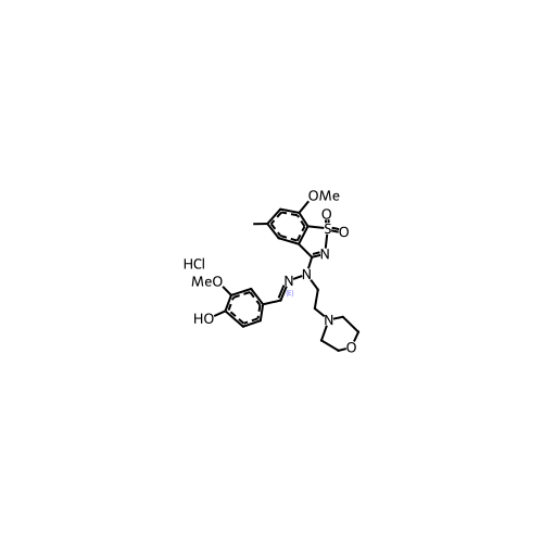 COc1cc(/C=N/N(CCN2CCOCC2)C2=NS(=O)(=O)c3c(OC)cc(C)cc32)ccc1O.Cl